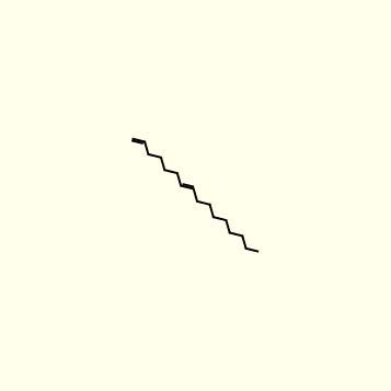 C=CCCCCC=CCCCCCCCC